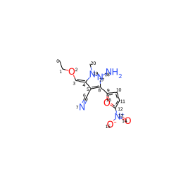 CCOC=C1C(C#N)=C(c2ccc([N+](=O)[O-])o2)N(N)N1C